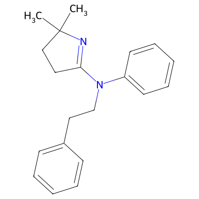 CC1(C)CCC(N(CCc2ccccc2)c2ccccc2)=N1